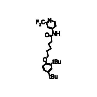 CC(C)(C)c1ccc(OCCCCCC(=O)Nc2ccnc(C(F)(F)F)c2)c(C(C)(C)C)c1